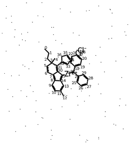 CCCC1(C)C=CC2=c3ccc(C)cc3=[C]([Zr+2]=[C](c3ccccc3)c3ccccc3)C2=C1C1=CC=CC1.[Cl-].[Cl-]